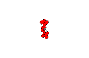 O=C(c1ccc(-n2c3nc4ccccc4n3c3ccccc3n3c4ccccc4nc23)cc1)c1cccc(-c2cccc(C(=O)c3ccc4c(c3)n3c5ccccc5nc3n(-c3ccccc3)c3nc5ccccc5n43)c2)c1